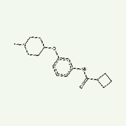 CN1CCC(Oc2cccc(NC(=O)C3CCC3)c2)CC1